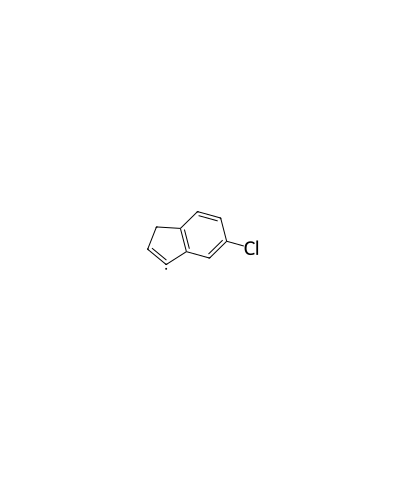 Clc1ccc2c(c1)[C]=CC2